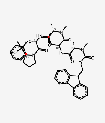 CC(C)C[C@H](NC(=O)[C@H](C)N(C)C(=O)OCC1c2ccccc2-c2ccccc21)C(=O)N(C)[C@@H](C)C(=O)N[C@@H](Cc1ccccc1)C(=O)N1CCC[C@H]1C(C)(O)O